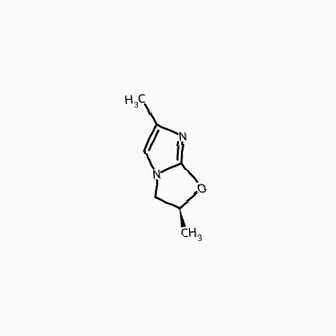 Cc1cn2c(n1)O[C@@H](C)C2